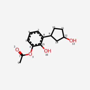 CC(=O)Oc1cccc(C2CCC(O)C2)c1O